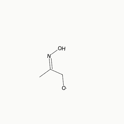 C/C(C[O])=N/O